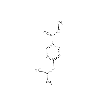 COC(=O)c1ccc(CC(C)C)cc1